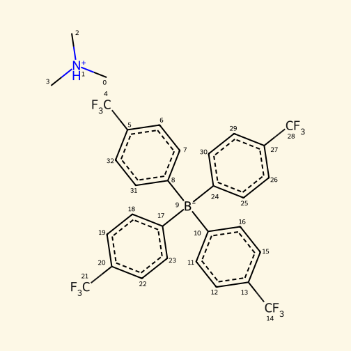 C[NH+](C)C.FC(F)(F)c1ccc([B-](c2ccc(C(F)(F)F)cc2)(c2ccc(C(F)(F)F)cc2)c2ccc(C(F)(F)F)cc2)cc1